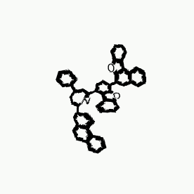 C1=C(c2ccccc2)CC=C(c2ccc3c(ccc4ccccc43)c2)N=C1c1ccc(-c2cc3ccccc3c3c2oc2ccccc23)c2oc3ccccc3c12